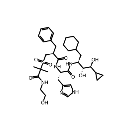 CC(C)(C(=O)NCCO)S(=O)(=O)C[C@@H](Cc1ccccc1)C(=O)N[C@@H](Cc1c[nH]cn1)C(=O)N[C@@H](CC1CCCCC1)[C@@H](O)[C@@H](O)C1CC1